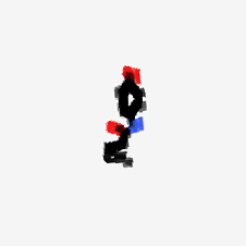 CC=CC(=O)Nc1ccc(O)cc1